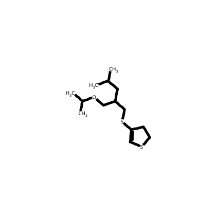 CC(C)CC(COC(C)C)CSC1=CSCC1